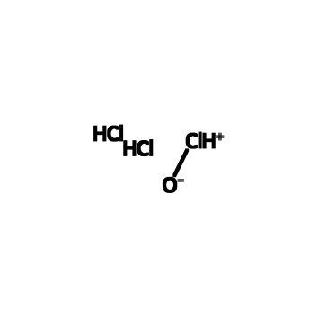 Cl.Cl.[O-][ClH+]